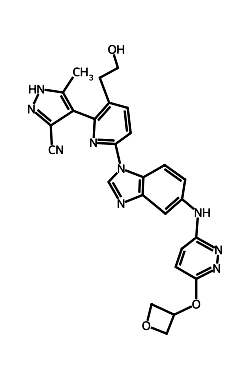 Cc1[nH]nc(C#N)c1-c1nc(-n2cnc3cc(Nc4ccc(OC5COC5)nn4)ccc32)ccc1CCO